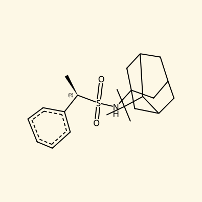 C[C@H](c1ccccc1)S(=O)(=O)NC12CC3CC(C1)C(C(C)(C)C)C(C3)C2